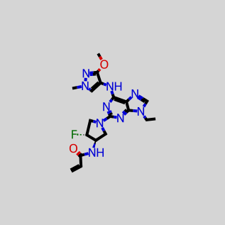 C=CC(=O)N[C@@H]1CN(c2nc(Nc3cn(C)nc3OC)c3ncn(CC)c3n2)C[C@H]1F